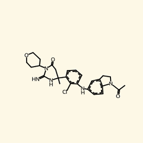 CC(=O)N1CCc2cc(Nc3cccc(C4(C)CC(=O)N(C5CCOCC5)C(=N)N4)c3Cl)ccc21